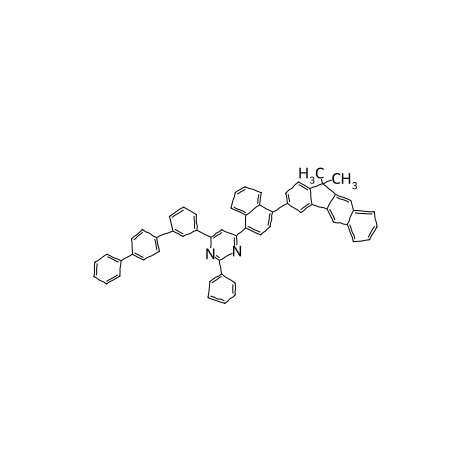 CC1(C)c2ccc(-c3ccc(-c4cc(-c5cccc(-c6ccc(-c7ccccc7)cc6)c5)nc(-c5ccccc5)n4)c4ccccc34)cc2-c2cc3ccccc3cc21